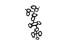 Cc1ccc(N(c2ccc3cc(-c4c5ccccc5c(-c5ccc6c(c5)-c5ccccc5C6(c5ccccc5)c5ccccc5)c5ccccc45)ccc3c2)c2ccc(C)c3ccccc23)c2ccccc12